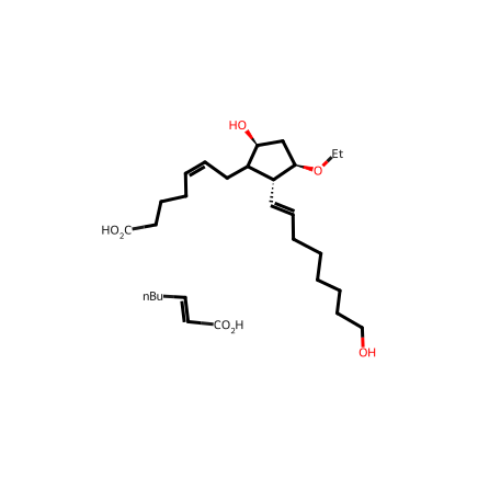 CCCCC=CC(=O)O.CCO[C@@H]1C[C@H](O)C(C/C=C\CCCC(=O)O)[C@H]1/C=C/CCCCCCO